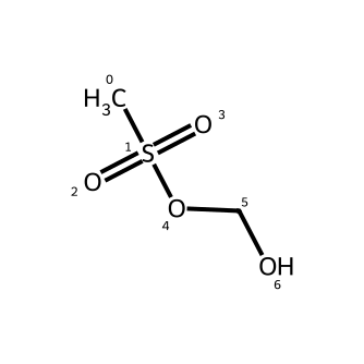 CS(=O)(=O)OCO